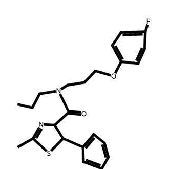 CCCN(CCCOc1ccc(F)cc1)C(=O)C1N=C(C)SC1c1ccccc1